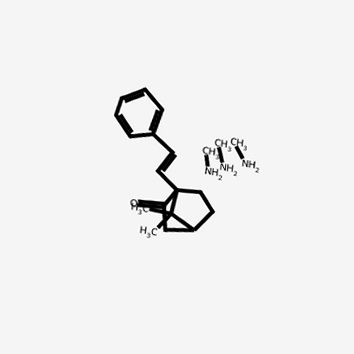 CC1(C)C2CCC1(C=Cc1ccccc1)C(=O)C2.CN.CN.CN